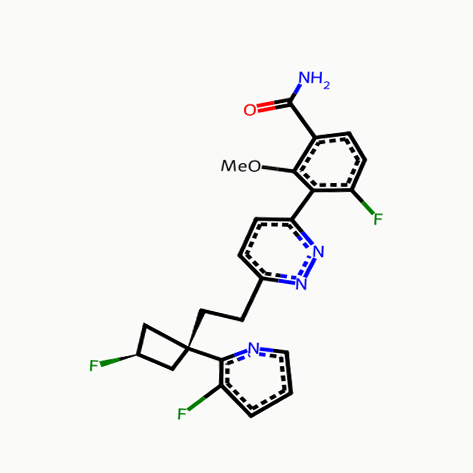 COc1c(C(N)=O)ccc(F)c1-c1ccc(CC[C@]2(c3ncccc3F)C[C@H](F)C2)nn1